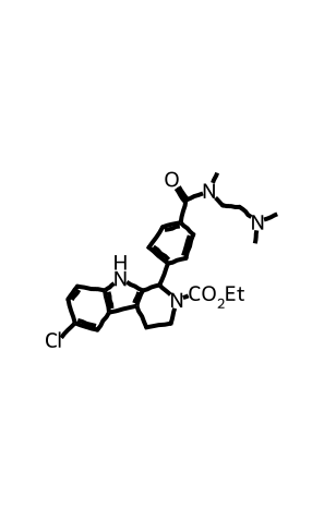 CCOC(=O)N1CCc2c([nH]c3ccc(Cl)cc23)C1c1ccc(C(=O)N(C)CCN(C)C)cc1